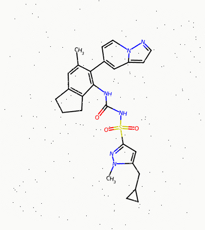 Cc1cc2c(c(NC(=O)NS(=O)(=O)c3cc(CC4CC4)n(C)n3)c1-c1ccn3nccc3c1)CCC2